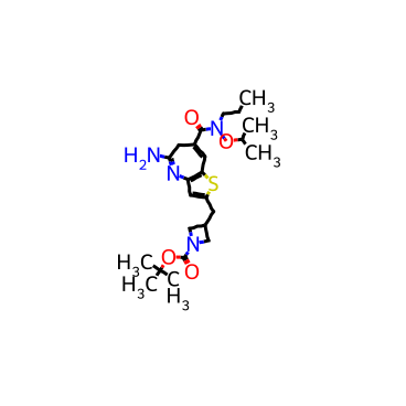 CCCN(OC(C)C)C(=O)C1=Cc2sc(CC3CN(C(=O)OC(C)(C)C)C3)cc2N=C(N)C1